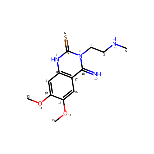 CNCCn1c(=S)[nH]c2cc(OC)c(OC)cc2c1=N